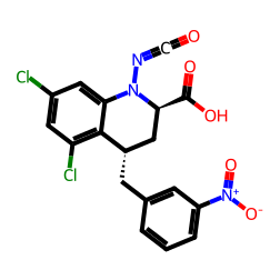 O=C=NN1c2cc(Cl)cc(Cl)c2[C@@H](Cc2cccc([N+](=O)[O-])c2)C[C@@H]1C(=O)O